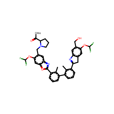 COC(=O)C1CCCN1Cc1cc2nc(-c3cccc(-c4cccc(C5=Nc6cc(CO)c(OC(F)F)cc6C5)c4C)c3C)oc2cc1OC(F)F